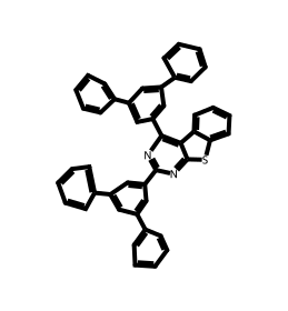 c1ccc(-c2cc(-c3ccccc3)cc(-c3nc(-c4cc(-c5ccccc5)cc(-c5ccccc5)c4)c4c(n3)sc3ccccc34)c2)cc1